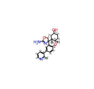 NC1=NC2(CO1)c1cc(-c3cccnc3F)ccc1O[C@H]1CCC(O)C[C@H]12